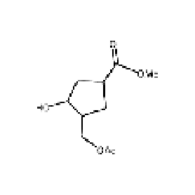 COC(=O)C1CC(O)C(COC(C)=O)C1